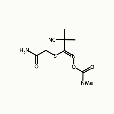 CNC(=O)ON=C(SCC(N)=O)C(C)(C)C#N